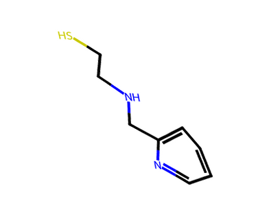 SCCNCc1ccccn1